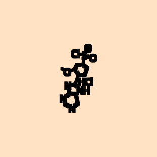 COc1cc(S(=O)(=O)Cl)ccc1-c1nc2ncncc2[nH]1.Cl